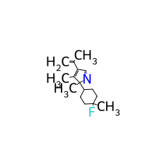 C=C(C)C1=C(C)C(C)(C2CCC(C)(F)CC2)N=C1